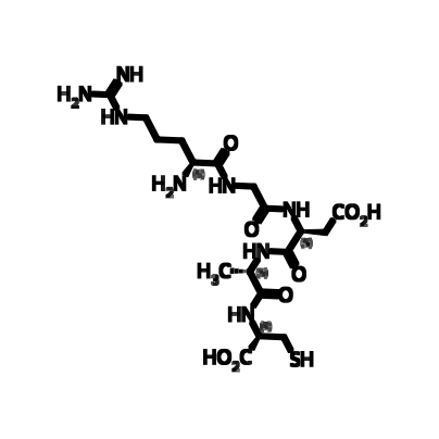 C[C@H](NC(=O)[C@H](CC(=O)O)NC(=O)CNC(=O)[C@@H](N)CCCNC(=N)N)C(=O)N[C@@H](CS)C(=O)O